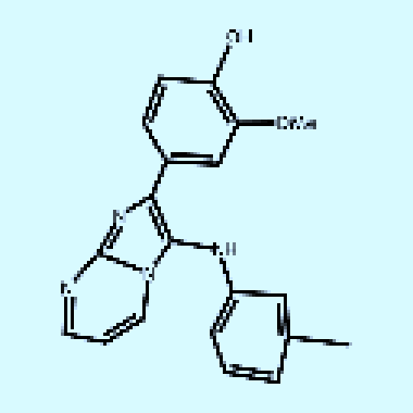 COc1cc(-c2nc3ncccn3c2Nc2cccc(C)c2)ccc1O